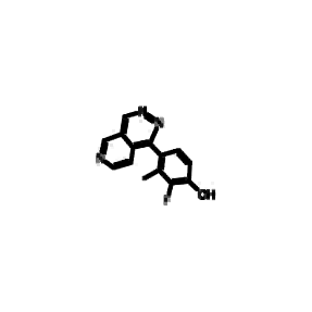 Cc1c(-c2nncc3cnccc23)ccc(O)c1F